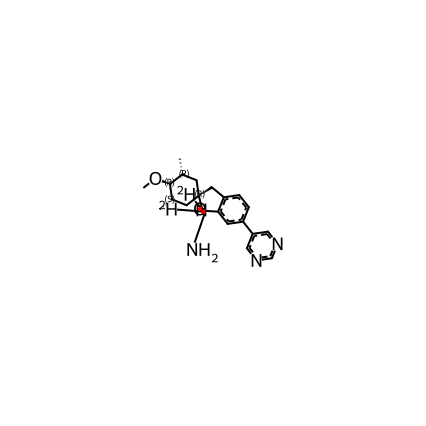 [2H]C1([2H])OC(N)=NC12c1cc(-c3cncnc3)ccc1C[C@@]21C[C@@H](C)[C@H](OC)[C@@H](C)C1